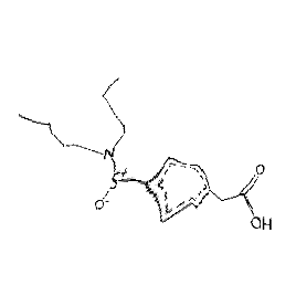 CCCN(CCC)[S+]([O-])c1ccc(C(=O)O)cc1